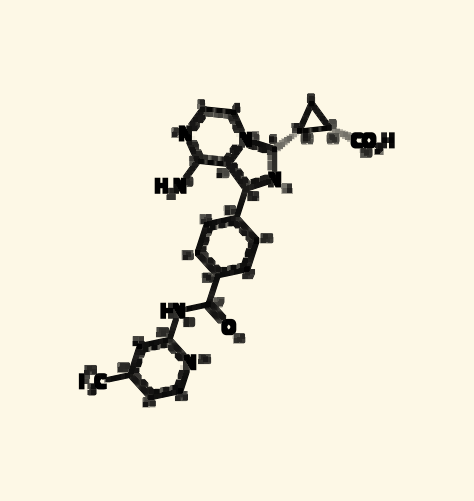 Nc1nccn2c([C@@H]3C[C@@H]3C(=O)O)nc(-c3ccc(C(=O)Nc4cc(C(F)(F)F)ccn4)cc3)c12